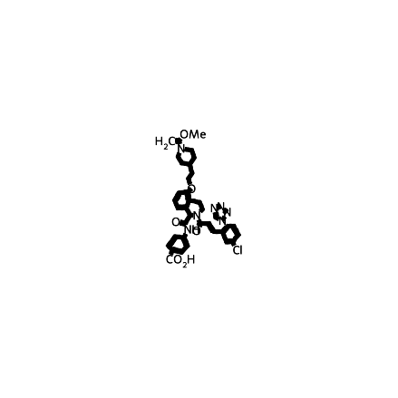 C=C(OC)N1CCC(CCOc2cccc3c2CCN(C(=O)/C=C/c2cc(Cl)ccc2-n2cnnn2)C3C(=O)Nc2ccc(C(=O)O)cc2)CC1